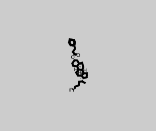 CC(C)CCCC(C)[C@H]1CC[C@H]2[C@@H]3CC=C4C[C@@H](OC(=O)CCc5ccccc5)CC[C@]4(C)[C@H]3CC[C@]12C